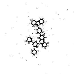 c1ccc(-c2nc(-c3ccccc3)nc(-n3c4ccccc4c4cc5sc6cc(-n7c8ccccc8c8ccccc87)ccc6c5cc43)n2)cc1